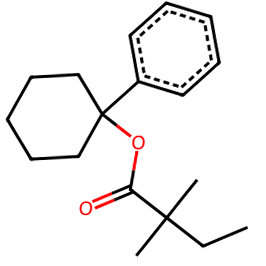 CCC(C)(C)C(=O)OC1(c2ccccc2)CCCCC1